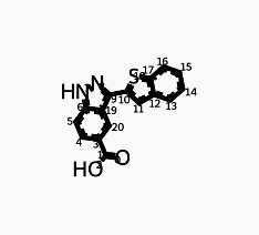 O=C(O)c1ccc2[nH]nc(-c3cc4ccccc4s3)c2c1